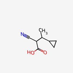 CC(C1CC1)C(C#N)C(=O)O